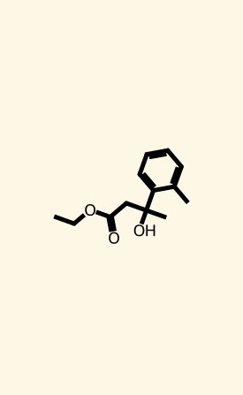 CCOC(=O)CC(C)(O)c1ccccc1C